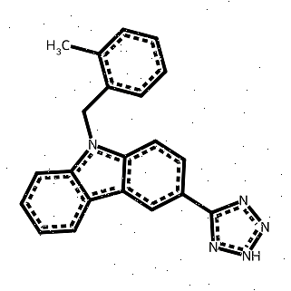 Cc1ccccc1Cn1c2ccccc2c2cc(-c3nn[nH]n3)ccc21